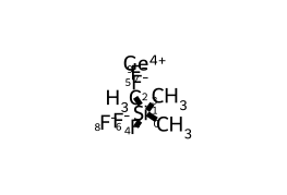 C[Si](C)(C)F.[F-].[F-].[F-].[F-].[Ge+4]